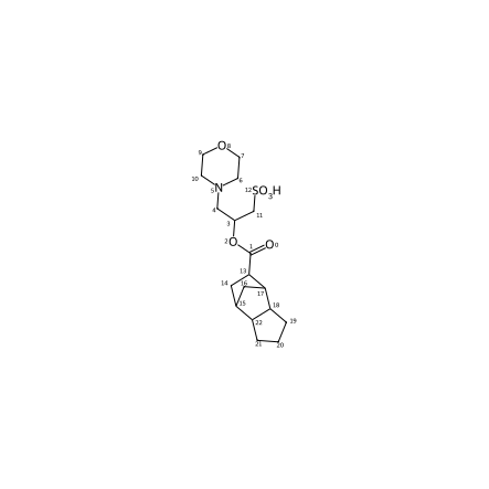 O=C(OC(CN1CCOCC1)CS(=O)(=O)O)C1CC2CC1C1CCCC21